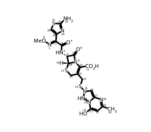 CON=C(C(=O)N[C@@H]1C(=O)N2C(C(=O)O)=C(CSN3C=C4N=C(C)C=C(O)N4N3)CS[C@H]12)c1csc(N)n1